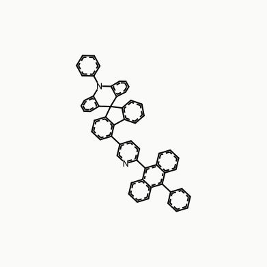 c1ccc(-c2c3ccccc3c(-c3ccc(-c4cccc5c4-c4ccccc4C54c5ccccc5N(c5ccccc5)c5ccccc54)cn3)c3ccccc23)cc1